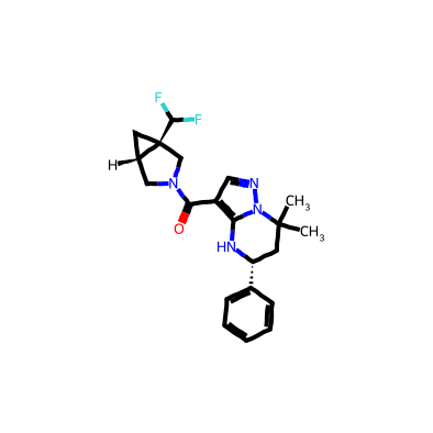 CC1(C)C[C@H](c2ccccc2)Nc2c(C(=O)N3C[C@@H]4C[C@]4(C(F)F)C3)cnn21